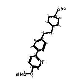 CCCCCCOc1ccc(-c2ccc(CCC3CCC(CCCCCC)CC3)cc2)nc1